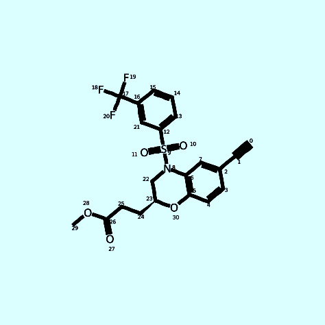 C#Cc1ccc2c(c1)N(S(=O)(=O)c1cccc(C(F)(F)F)c1)C[C@H](CCC(=O)OC)O2